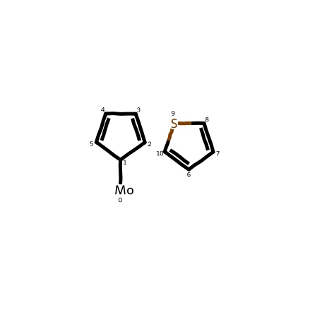 [Mo][CH]1C=CC=C1.c1ccsc1